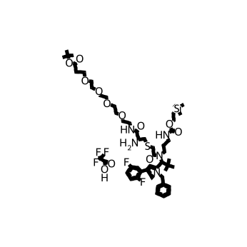 CC(C)(C)OC(=O)CCOCCOCCOCCOCCNC(=O)C(N)CSCC(=O)N(CCCNC(=O)OCC[Si](C)(C)C)C(c1cc(-c2cc(F)ccc2F)cn1Cc1ccccc1)C(C)(C)C.O=C(O)C(F)(F)F